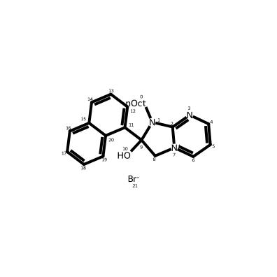 CCCCCCCCN1c2nccc[n+]2CC1(O)c1cccc2ccccc12.[Br-]